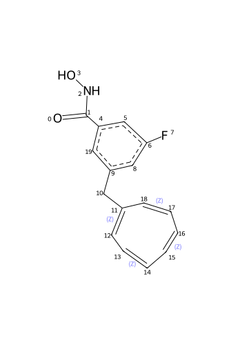 O=C(NO)c1cc(F)cc(CC2=C/C=C\C=C/C=C\2)c1